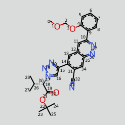 COCOc1ccccc1-c1cc2cc(-c3cn([C@H](C(=O)OC(C)(C)C)C(C)C)nn3)c(C#N)cc2nn1